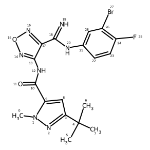 Cn1nc(C(C)(C)C)cc1C(=O)Nc1nonc1C(=N)Nc1ccc(F)c(Br)c1